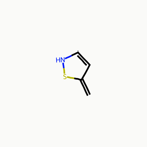 C=C1C=[C]NS1